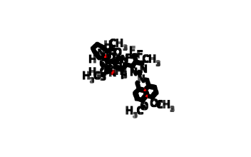 COc1ccc(CN(Cc2ccc(OC)cc2)c2nc(C)c(C(F)(F)F)c(-c3nc4c5c(nc(SC)nc5c3F)N3C[C@H]5CC[C@@H]([C@H]3[C@H](C)O4)N5C(=O)OC(C)(C)C)n2)cc1